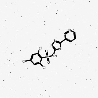 O=S(=O)(Nc1nnc(-c2cccnc2)s1)c1c(Cl)cc(Cl)cc1Cl